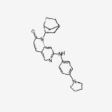 O=c1ccc2cnc(Nc3ccc(N4CCCC4)cc3)cc2n1C1CC2CCC1C2